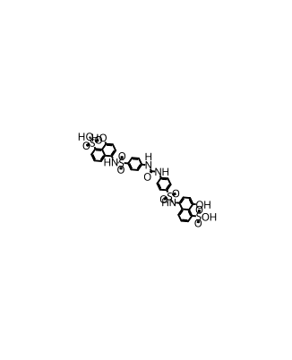 O=C(Nc1ccc(S(=O)(=O)Nc2ccc(O)c3c(S(=O)(=O)O)cccc23)cc1)Nc1ccc(S(=O)(=O)Nc2ccc(O)c3c(S(=O)(=O)O)cccc23)cc1